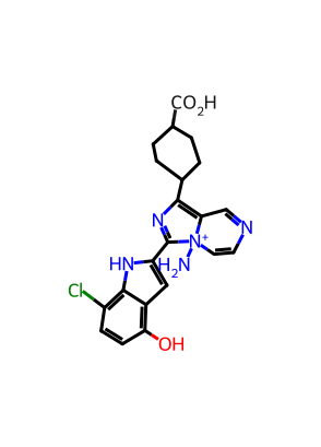 N[N+]12C=CN=CC1=C(C1CCC(C(=O)O)CC1)N=C2c1cc2c(O)ccc(Cl)c2[nH]1